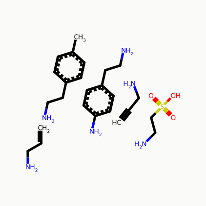 C#CCN.C=CCN.Cc1ccc(CCN)cc1.NCCS(=O)(=O)O.NCCc1ccc(N)cc1